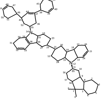 CC1(C)C2CCCCC2C2C[C@H](N3C4C=CCCC4C4CC(C5CCC6C(C5)C5=C(CCC=C5)N6C5CC(C6C=CCCC6)=CC(C6CC=CCC6)C5)CCC43)CCC21